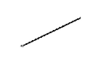 C#CC#CC#CC#CC#CC#CC#CC#CC#CC#CC#CC#CC#CC#CC#CC#CC#CC#CC#CI